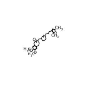 COc1cc2c(cc1OC)CC(=O)N(CC1CCCN(CCCc3cc(C)sc3C)C1)CC2